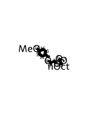 CCCCCCCCC(COS(C)(=O)=O)OCc1ccc(OC)cc1